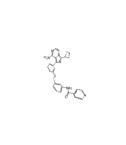 Nc1nccn2c(C3CCC3)nc(-c3cccc(OCc4cccc(NC(=O)c5ccncc5)c4)c3)c12